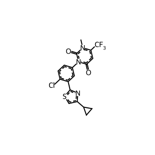 Cn1c(C(F)(F)F)cc(=O)n(-c2ccc(Cl)c(-c3nc(C4CC4)cs3)c2)c1=O